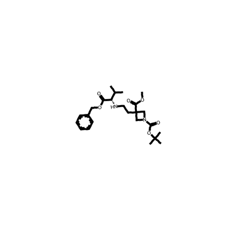 COC(=O)C1(CCN[C@H](C(=O)OCc2ccccc2)C(C)C)CN(C(=O)OC(C)(C)C)C1